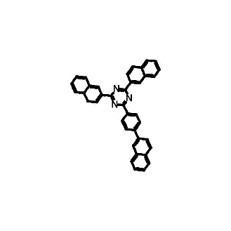 C1=CC2=CC(c3nc(-c4ccc(-c5ccc6ccccc6c5)cc4)nc(-c4ccc5ccccc5c4)n3)=CCC2C=C1